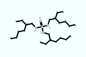 CCCCC(CC)COP(=O)(OCC(CC)CCCC)OCC(CC)CCCC